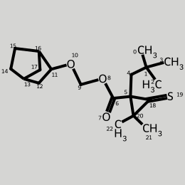 CC(C)(C)CC1(C(=O)OCOC2CC3CCC2C3)C(=S)C1(C)C